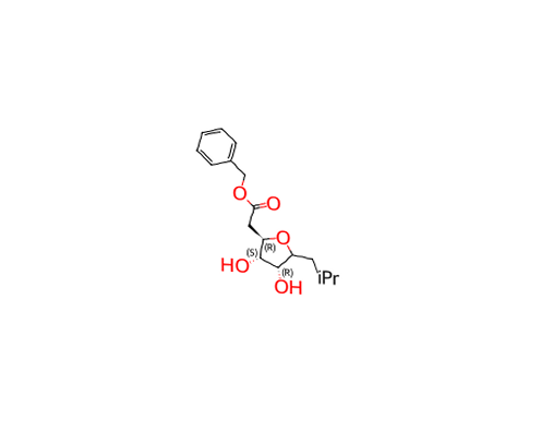 CC(C)CC1O[C@H](CC(=O)OCc2ccccc2)[C@@H](O)[C@H]1O